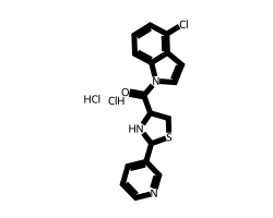 Cl.Cl.O=C(C1CSC(c2cccnc2)N1)n1ccc2c(Cl)cccc21